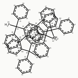 PC(c1ccccc1)(c1ccccc1)c1ccccc1-c1cc(C(P)(c2ccccc2)c2ccccc2)c(-c2ccccc2C(P)(c2ccccc2)c2ccccc2)cc1C(P)(c1ccccc1)c1ccccc1